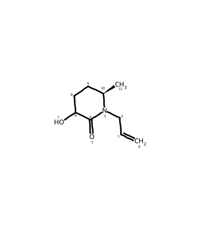 C=CCN1C(=O)C(O)CC[C@H]1C